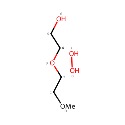 COCCOCCO.OO